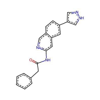 O=C(Cc1ccccc1)Nc1cc2cc(-c3cn[nH]c3)ccc2cn1